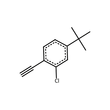 C#Cc1ccc(C(C)(C)C)cc1Cl